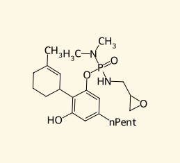 CCCCCc1cc(O)c(C2C=C(C)CCC2)c(OP(=O)(NCC2CO2)N(C)C)c1